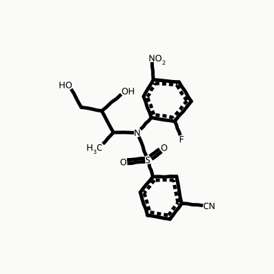 CC(C(O)CO)N(c1cc([N+](=O)[O-])ccc1F)S(=O)(=O)c1cccc(C#N)c1